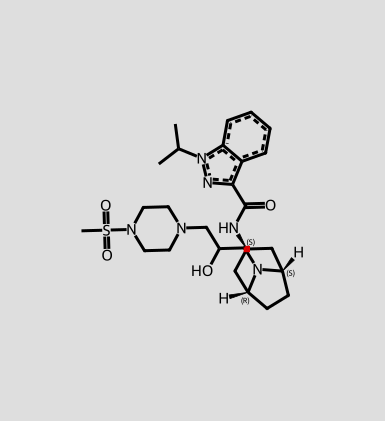 CC(C)n1nc(C(=O)N[C@@H]2C[C@H]3CC[C@@H](C2)N3CC(O)CN2CCN(S(C)(=O)=O)CC2)c2ccccc21